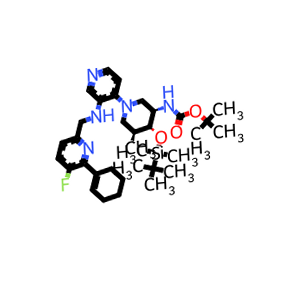 C[C@H]1CN(c2ccncc2NCc2ccc(F)c(C3=CCCCC3)n2)C[C@@H](NC(=O)OC(C)(C)C)[C@@H]1O[Si](C)(C)C(C)(C)C